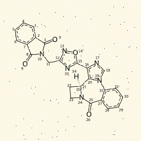 O=C1c2ccccc2C(=O)N1Cc1noc(-c2ncn3c2[C@@H]2CCN2C(=O)c2ccccc2-3)n1